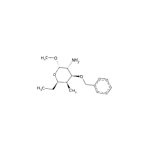 CC[C@H]1O[C@H](OC)[C@H](N)[C@@H](OCc2ccccc2)[C@H]1C